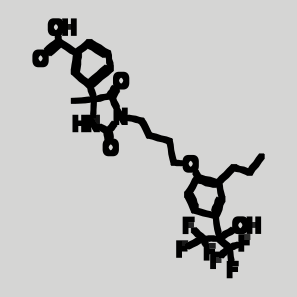 CCCc1cc(C(O)(C(F)(F)F)C(F)(F)F)ccc1OCCCCN1C(=O)NC(C)(c2cccc(C(=O)O)c2)C1=O